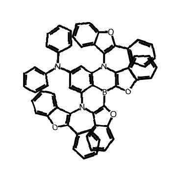 c1ccc(-c2oc3ccccc3c2N2c3cc(N(c4ccccc4)c4ccccc4)cc4c3B(c3oc5ccccc5c32)c2oc3ccccc3c2N4c2c(-c3ccccc3)oc3ccccc23)cc1